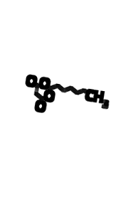 CCCCCCC1OC(=O)CC(=O)O1